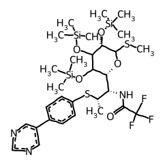 CSC1O[C@H]([C@H](NC(=O)C(F)(F)F)[C@H](C)Sc2ccc(-c3cncnc3)cc2)C(O[Si](C)(C)C)C(O[Si](C)(C)C)[C@H]1O[Si](C)(C)C